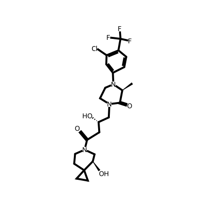 C[C@H]1C(=O)N(C[C@@H](O)CC(=O)N2CCC3(CC3)[C@H](O)C2)CCN1c1ccc(C(F)(F)F)c(Cl)c1